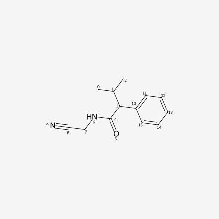 CC(C)C(C(=O)NCC#N)c1ccccc1